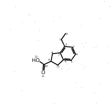 CCc1cccc2c1CC(C(=O)O)C2